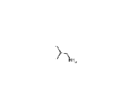 [CH2]C([CH2])CN